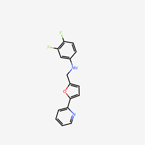 Fc1ccc(NCc2ccc(-c3ccccn3)o2)cc1F